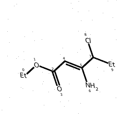 CCOC(=O)/C=C(\N)C(Cl)CC